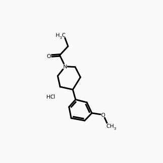 CCC(=O)N1CCC(c2cccc(OC)c2)CC1.Cl